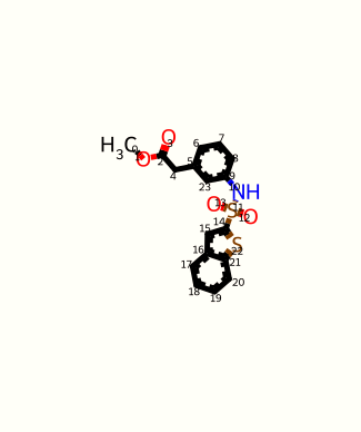 COC(=O)Cc1cccc(NS(=O)(=O)c2cc3ccccc3s2)c1